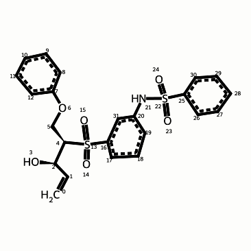 C=C[C@@H](O)[C@@H](COc1c[c]ccc1)S(=O)(=O)c1cccc(NS(=O)(=O)c2ccccc2)c1